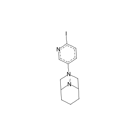 CN1C2CCCC1CN(c1ccc(I)nc1)C2